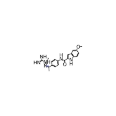 COc1ccc2[nH]c(C(=O)Nc3ccc(/C(C)=N\NC(=N)N)cc3)cc2c1